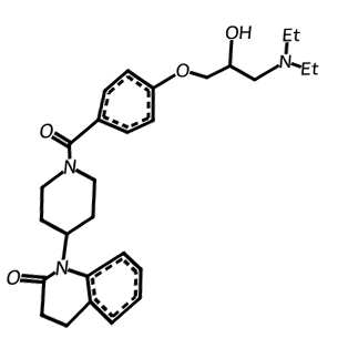 CCN(CC)CC(O)COc1ccc(C(=O)N2CCC(N3C(=O)CCc4ccccc43)CC2)cc1